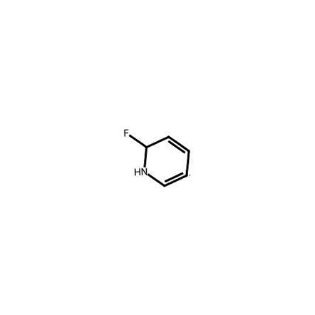 FC1C=C[C]=CN1